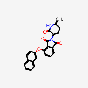 C=C1CCC(N2C(=O)c3cccc(Oc4ccc5ccccc5c4)c3C2=O)C(=O)N1